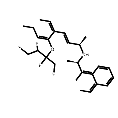 C/C=C(/C=C/[C@@H](C)N[C@H](C)/C(C)=c1\cccc\c1=C\C)C(=C/CC)\OC(F)(CF)C(F)CF